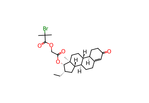 CC[C@H]1C[C@H]2[C@@H]3CCC4=CC(=O)CC[C@@H]4[C@H]3CC[C@]2(C)[C@H]1OC(=O)COC(=O)C(C)(C)Br